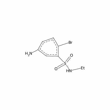 CCNS(=O)(=O)c1cc(N)ccc1Br